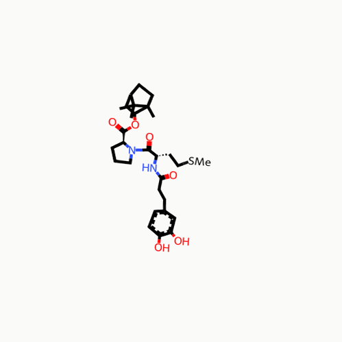 CSCC[C@H](NC(=O)CCc1ccc(O)c(O)c1)C(=O)N1CCC[C@H]1C(=O)OC1CC2CCC1(C)C2(C)C